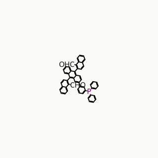 O=Cc1c(-c2c3ccccc3c(-c3ccc4ccccc4c3C=O)c3cc(-c4cccc(P(c5ccccc5)c5ccccc5)c4)ccc23)ccc2ccccc12